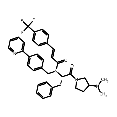 CN(C)[C@H]1CCN(C(=O)[C@H](Cc2ccccc2)N(Cc2ccc(-c3ccccn3)cc2)C(=O)/C=C/c2ccc(C(F)(F)F)cc2)C1